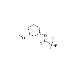 CO[C@@H]1CCCN(OC(=O)C(F)(F)F)C1